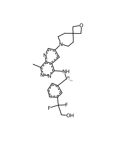 Cc1nnc(N[C@H](C)c2cccc(C(F)(F)CO)c2)c2cc(N3CCC4(CC3)COC4)cnc12